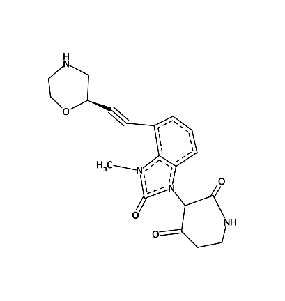 Cn1c(=O)n(C2C(=O)CCNC2=O)c2cccc(C#C[C@@H]3CNCCO3)c21